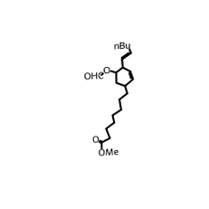 CCCC/C=C/C1C=CC(CCCCCCCC(=O)OC)CC1OC=O